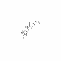 [CH2]C#Cc1cnc(N)c2c(-c3ccc(NC(=O)Nc4cccc(CN)c4)cc3)csc12